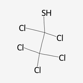 SC(Cl)(Cl)C(Cl)(Cl)Cl